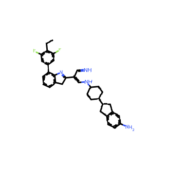 CCc1c(F)cc(-c2cccc3c2N=C(/C(C=N)=C/NC2CCC(C4Cc5ccc(N)cc5C4)CC2)C3)cc1F